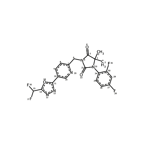 CC1(C)C(=O)N(Cc2ccc(-c3nnc(C(F)F)o3)cn2)C(=O)N1c1ccc(F)cc1F